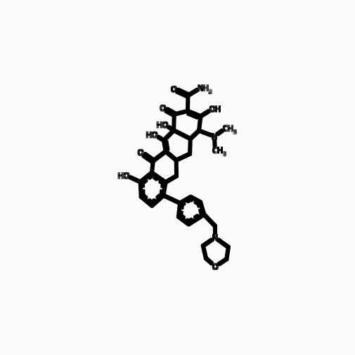 CN(C)C1C(O)=C(C(N)=O)C(=O)C2(O)C(O)=C3C(=O)c4c(O)ccc(-c5ccc(CN6CCOCC6)cc5)c4CC3CC12